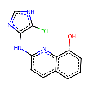 Oc1cccc2ccc(Nc3nc[nH]c3Cl)nc12